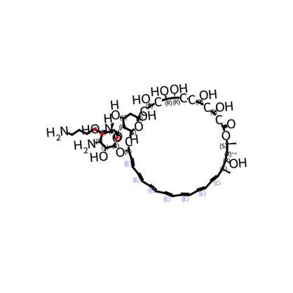 C[C@@H]1[C@H](O)[C@@H](C)/C=C/C=C/C=C/C=C/C=C/C=C/C=C/[C@H](O[C@@H]2O[C@H](C)[C@@H](O)[C@H](N)[C@@H]2O)C[C@@H]2O[C@](O)(C[C@@H](O)C[C@@H](O)[C@H](O)CC[C@@H](O)C[C@@H](O)CC(=O)O[C@H]1C)C[C@H](O)[C@H]2C(=O)NCCCCCN